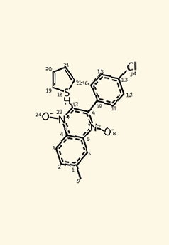 Cc1ccc2c(c1)[n+]([O-])c(-c1ccc(Cl)cc1)c([SH]1C=CC=C1)[n+]2[O-]